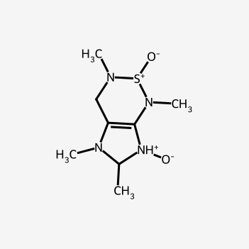 CC1N(C)C2=C(N(C)[S+]([O-])N(C)C2)[NH+]1[O-]